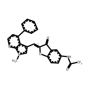 Cn1cc(/C=C2\Oc3ccc(NC(=O)C(F)(F)F)cc3C2=O)c2c(-c3ccccc3)ccnc21